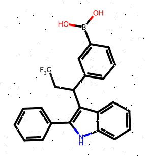 OB(O)c1cccc(C(CC(F)(F)F)c2c(-c3ccccc3)[nH]c3ccccc23)c1